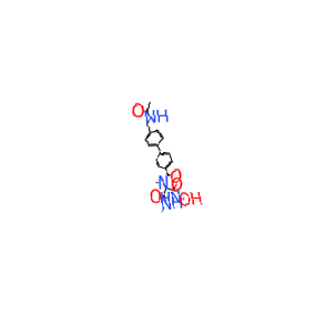 CNC(=O)C(C(=O)NO)N(C)C(=O)c1ccc(-c2ccc(CNC(C)=O)cc2)cc1